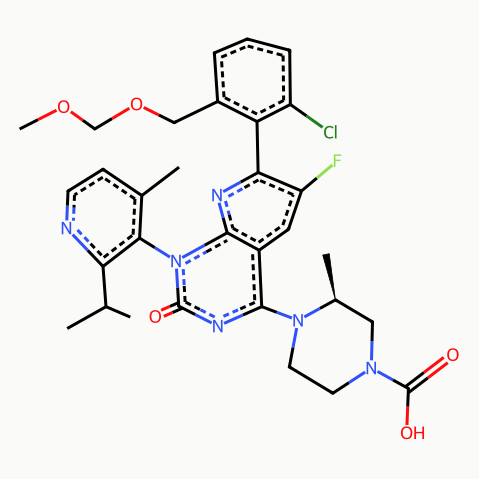 COCOCc1cccc(Cl)c1-c1nc2c(cc1F)c(N1CCN(C(=O)O)C[C@@H]1C)nc(=O)n2-c1c(C)ccnc1C(C)C